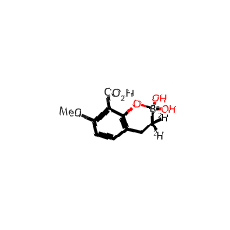 [2H]C1([2H])Cc2ccc(OC)c(C(=O)O)c2O[B-]1(O)O